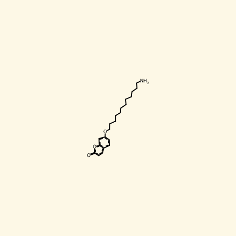 NCCCCCCCCCCCCOc1ccc2ccc(=O)oc2c1